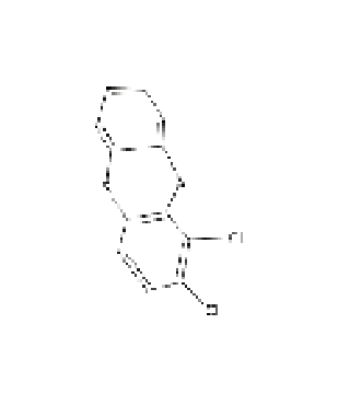 Clc1ccc2c(c1Cl)Sc1ccccc1S2